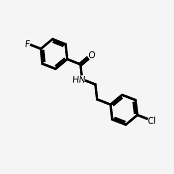 O=C(NCCc1ccc(Cl)cc1)c1ccc(F)cc1